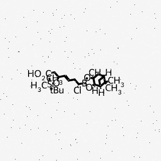 CC1(C)[C@@H]2C[C@H]1[C@H]1OB([C@H](Cl)CC=CC(CC(=O)O)O[Si](C)(C)C(C)(C)C)O[C@@]1(C)C2